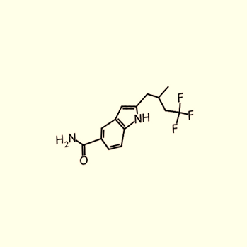 CC(Cc1cc2cc(C(N)=O)ccc2[nH]1)CC(F)(F)F